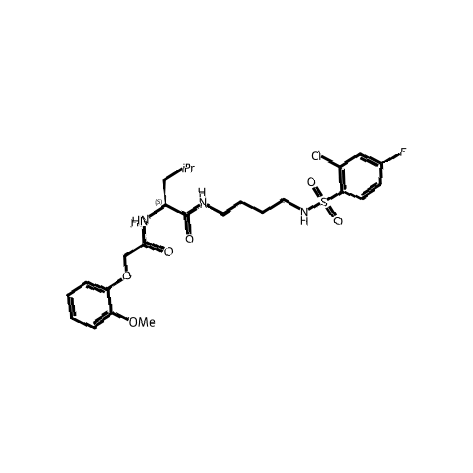 COc1ccccc1OCC(=O)N[C@@H](CC(C)C)C(=O)NCCCCNS(=O)(=O)c1ccc(F)cc1Cl